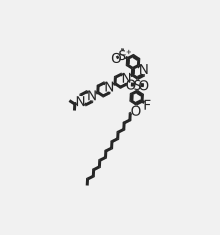 CCCCCCCCCCCCCCCCOc1ccc(S(=O)(=O)c2cnc3ccc([S+](C)[O-])cc3c2N2CCC(N3CCC(N4CCN(C(C)C)CC4)CC3)CC2)cc1F